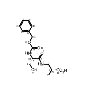 C[C@H](CNC(=O)[C@H](CO)NC(=O)OCc1ccccc1)C(=O)O